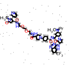 CC(C)N(C)[C@@H]1CC[C@H](N2CC[C@H](Nc3ncnc4ccc(C(F)(F)F)cc34)C2=O)C(C=NC(=O)[C@H]2CC[C@@H](N3CCC(C(=O)NCCOCCOCCNC(=O)[C@H]4CC(=O)N(C)[C@@H]4c4cccnc4)CC3)CC2)C1